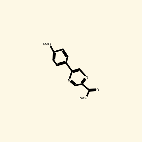 COC(=O)c1cnc(-c2ccc(OC)cc2)cn1